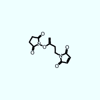 C=C(CCN1C(=O)C=CC1=O)ON1C(=O)CCC1=O